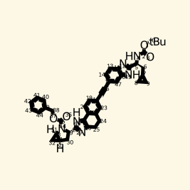 CC(C)(C)OC(=O)N[C@@H](CC1CC1)c1nc2ccc(C#Cc3ccc4c(c3)CCc3nc([C@@H]5C[C@H]6C[C@H]6N5C(=O)OCc5ccccc5)[nH]c3-4)cc2[nH]1